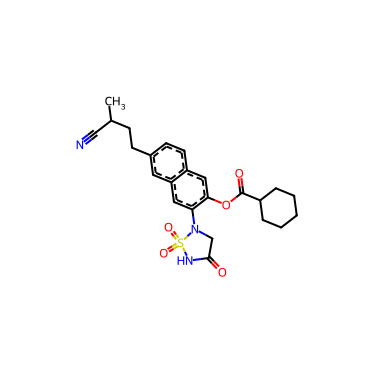 CC(C#N)CCc1ccc2cc(OC(=O)C3CCCCC3)c(N3CC(=O)NS3(=O)=O)cc2c1